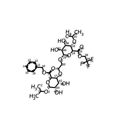 CC(C)O[C@@H]1OC(C(=O)OCc2ccccc2)[C@@H](OCCO[C@@H]2OC(C(=O)OCC(F)(F)F)[C@@H](OC(C)C)[C@H](O)[C@@H]2O)[C@H](O)[C@@H]1O